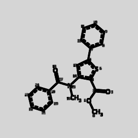 COC(=O)c1sc(-c2ccccc2)cc1N(C)C(=O)c1ccccc1